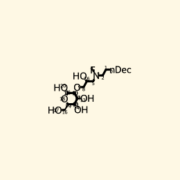 CCCCCCCCCCCCN(F)CC(O)CO[C@@H]1[C@@H](O)[C@@H](O)[C@@H](CO)O[C@H]1O